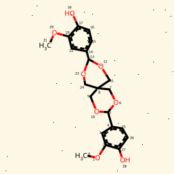 COc1cc(C2OCC3(CO2)COC(c2ccc(O)c(OC)c2)OC3)ccc1O